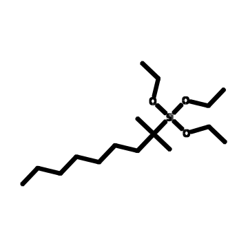 CCCCCCCC(C)(C)[Si](OCC)(OCC)OCC